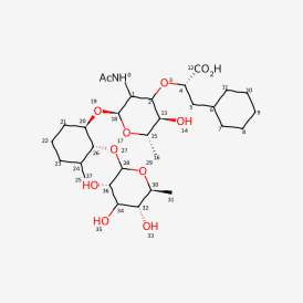 CC(=O)NC1C(O[C@@H](CC2CCCCC2)C(=O)O)[C@@H](O)[C@H](C)O[C@H]1O[C@@H]1CCCC(C)[C@H]1OC1O[C@@H](C)[C@H](O)C(O)[C@@H]1O